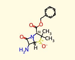 CC1(C)[C@H](C(=O)OCc2ccccc2)N2C(=O)C(N)[C@H]2[S+]1[O-]